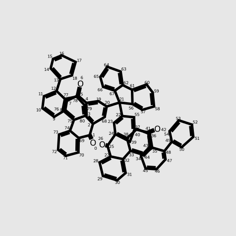 O=C(c1cc(C(=O)c2ccccc2-c2ccccc2)cc(C2(c3cc(C(=O)c4ccccc4C4=CC=CCC4)cc(C(=O)c4ccccc4-c4ccccc4)c3)c3ccccc3-c3ccccc32)c1)c1ccccc1C1=CCCC=C1